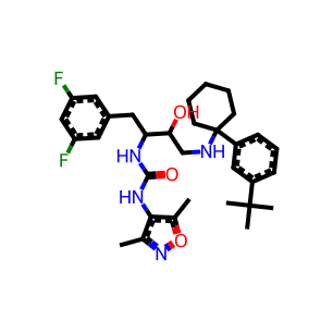 Cc1noc(C)c1NC(=O)NC(Cc1cc(F)cc(F)c1)C(O)CNC1(c2cccc(C(C)(C)C)c2)CCCCC1